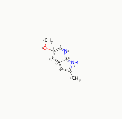 COc1cnc2[nH]c(C)cc2c1